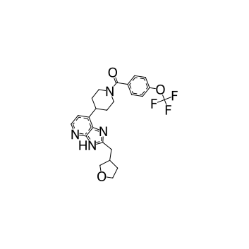 O=C(c1ccc(OC(F)(F)F)cc1)N1CCC(c2ccnc3[nH]c(CC4CCOC4)nc23)CC1